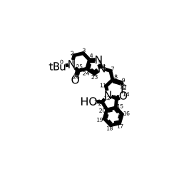 CC(C)(C)N1CCc2nn(C/C(=C/F)CN3C(=O)c4ccccc4C3O)cc2C1=O